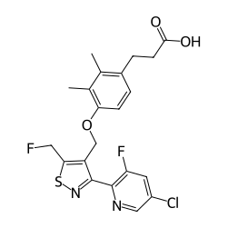 Cc1c(CCC(=O)O)ccc(OCc2c(-c3ncc(Cl)cc3F)nsc2CF)c1C